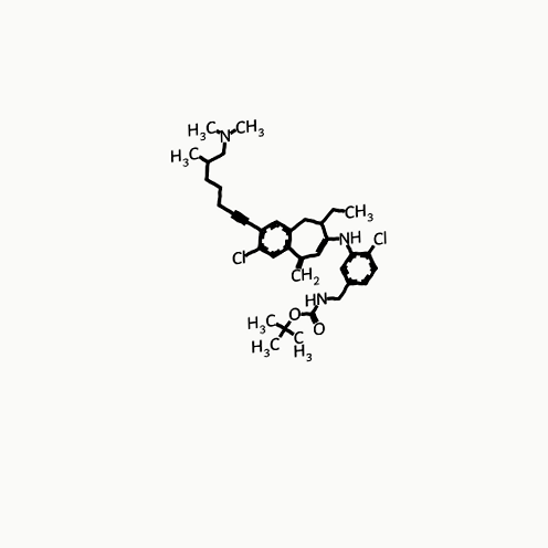 C=C1C=C(Nc2cc(CNC(=O)OC(C)(C)C)ccc2Cl)C(CC)Cc2cc(C#CCCCC(C)CN(C)C)c(Cl)cc21